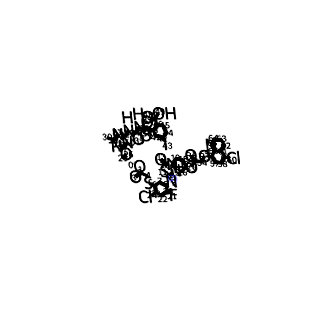 COC(=O)CSc1cc(/N=c2\sc(=O)n3n2CCCC3)c(F)cc1Cl.COc1nc(C)nc(NC(=O)NS(=O)(=O)c2cc(I)ccc2C(=O)O)n1.O=C(O)COc1ccc(Cl)c2cccnc12